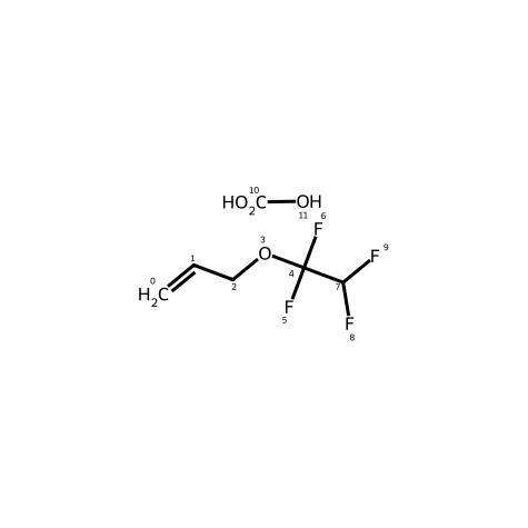 C=CCOC(F)(F)C(F)F.O=C(O)O